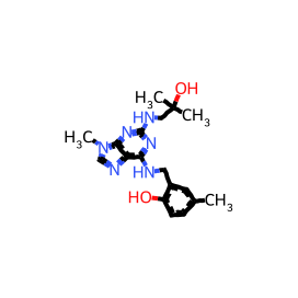 Cc1ccc(O)c(CNc2nc(NCC(C)(C)O)nc3c2ncn3C)c1